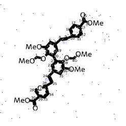 COCOc1c(OC)cc(/C=C/c2ccc(C(=O)OC)cc2)cc1-c1cc(/C=C/c2ccc(C(=O)OC)cc2)cc(OC)c1OCOC